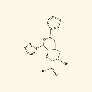 O=C(O)C1OC2C(CC1O)OC(c1ccccc1)OC2n1ccnn1